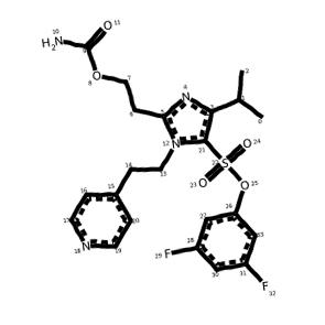 CC(C)c1nc(CCOC(N)=O)n(CCc2ccncc2)c1S(=O)(=O)Oc1cc(F)cc(F)c1